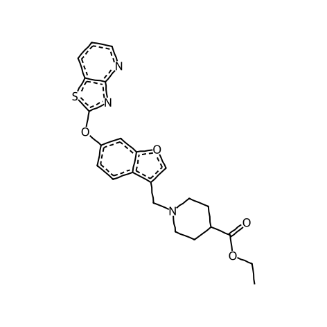 CCOC(=O)C1CCN(Cc2coc3cc(Oc4nc5ncccc5s4)ccc23)CC1